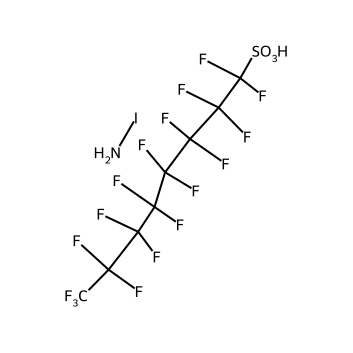 NI.O=S(=O)(O)C(F)(F)C(F)(F)C(F)(F)C(F)(F)C(F)(F)C(F)(F)C(F)(F)C(F)(F)F